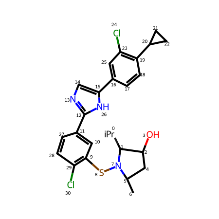 CC(C)C1C(O)CC(C)N1Sc1cc(-c2ncc(-c3ccc(C4CC4)c(Cl)c3)[nH]2)ccc1Cl